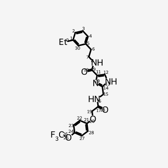 CCc1cccc(CCNC(=O)c2c[nH]c(CNC(=O)COc3ccc(OC(F)(F)F)cc3)n2)c1